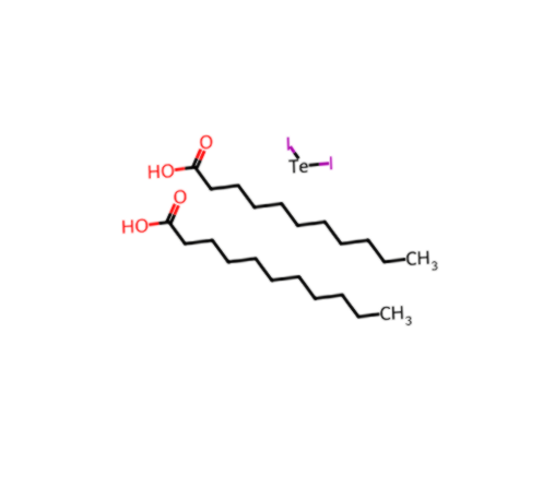 CCCCCCCCCCC(=O)O.CCCCCCCCCCC(=O)O.I[Te]I